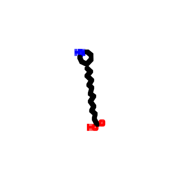 C1CCCNCC1.CCCCCCCCCCCCCC(=O)O